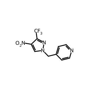 O=[N+]([O-])c1cn(Cc2ccncc2)nc1C(F)(F)F